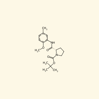 COc1ccc(C)cc1NC(=O)[C@@H]1CCCN1C(=O)OC(C)(C)C